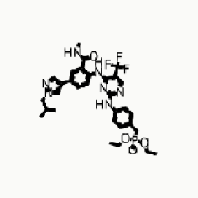 CCOP(=O)(Cc1ccc(Nc2ncc(C(F)(F)F)c(Nc3ccc(-c4cnn(CC(C)C)c4)cc3C(=O)NC)n2)cc1)OCC